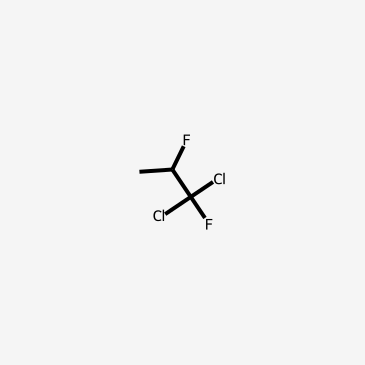 CC(F)C(F)(Cl)Cl